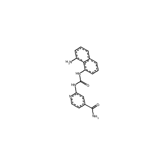 NC(=O)c1ccnc(NC(=O)Nc2cccc3cccc(N)c23)c1